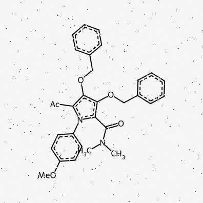 COc1ccc(-n2c(C(C)=O)c(OCc3ccccc3)c(OCc3ccccc3)c2C(=O)N(C)C)cc1